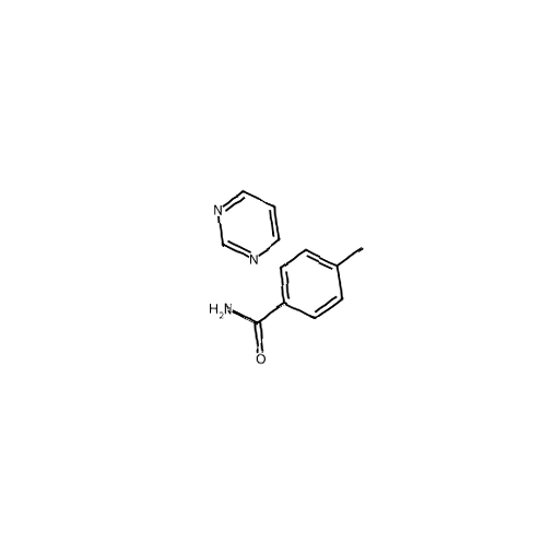 Cc1ccc(C(N)=O)cc1.c1cncnc1